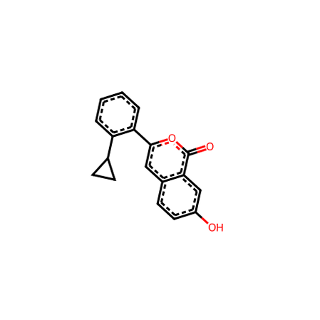 O=c1oc(-c2ccccc2C2CC2)cc2ccc(O)cc12